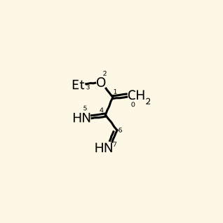 C=C(OCC)C(=N)C=N